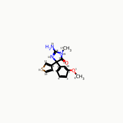 COc1cccc(C2(c3ccsc3)N=C(N)N(C)C2=O)c1